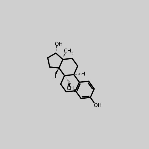 C=C[C@@]12CCc3cc(O)ccc3[C@@H]1CC[C@@]1(C)[C@H]2CC[C@@H]1O